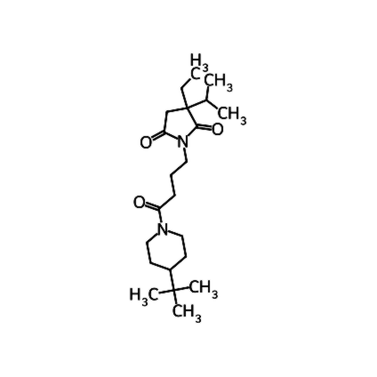 CCC1(C(C)C)CC(=O)N(CCCC(=O)N2CCC(C(C)(C)C)CC2)C1=O